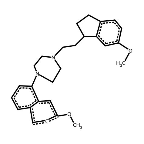 COc1ccc2c(c1)C(CCN1CCN(c3cccc4ccc(OC)cc34)CC1)CC2